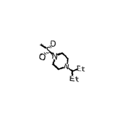 CCC(CC)N1CCN(S(C)(=O)=O)CC1